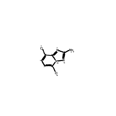 Nc1nc2c(Cl)ccc(Cl)n2n1